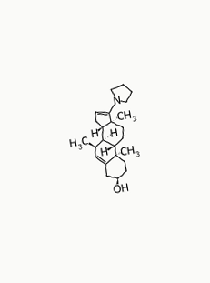 C[C@@H]1C=C2C[C@H](O)CC[C@]2(C)[C@H]2CC[C@]3(C)C(N4CCCC4)=CC[C@H]3[C@H]12